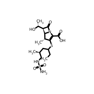 CCC(C[C@H](C)CNS(N)(=O)=O)SC1=C(C(=O)O)N2C(=O)[C@H]([C@@H](C)O)C2[C@H]1C